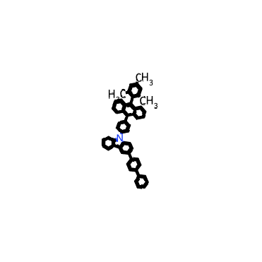 Cc1cc(C)c(-c2c3ccccc3c(-c3ccc(-n4c5ccccc5c5cc(-c6ccc(-c7ccccc7)cc6)ccc54)cc3)c3ccccc23)c(C)c1